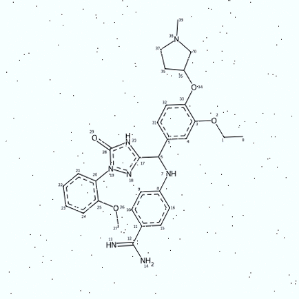 CCOc1cc(C(Nc2ccc(C(=N)N)cc2)c2nn(-c3ccccc3OC)c(=O)[nH]2)ccc1OC1CCN(C)C1